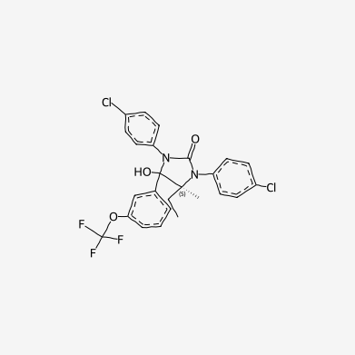 CC[C@]1(C)N(c2ccc(Cl)cc2)C(=O)N(c2ccc(Cl)cc2)C1(O)c1cccc(OC(F)(F)F)c1